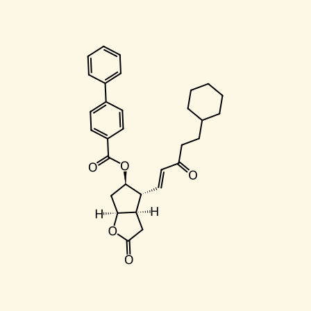 O=C(/C=C/[C@@H]1[C@H]2CC(=O)O[C@H]2C[C@H]1OC(=O)c1ccc(-c2ccccc2)cc1)CCC1CCCCC1